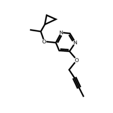 CC#CCOc1cc(OC(C)C2CC2)ncn1